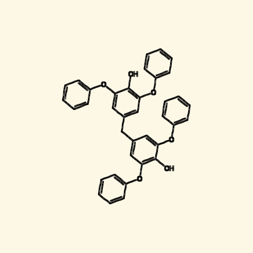 Oc1c(Oc2ccccc2)cc(Cc2cc(Oc3ccccc3)c(O)c(Oc3ccccc3)c2)cc1Oc1ccccc1